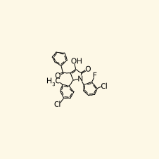 Cc1cc(Cl)ccc1C1C(C(=O)c2ccccc2)=C(O)C(=O)N1c1cccc(Cl)c1F